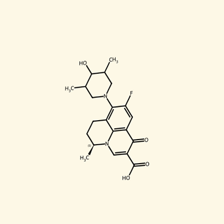 CC1CN(c2c(F)cc3c(=O)c(C(=O)O)cn4c3c2CC[C@@H]4C)CC(C)C1O